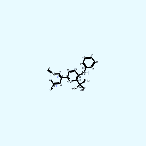 C=N/C=C(\C=C(/C)F)c1ccc(Nc2ccccc2)c(C(F)(F)F)n1